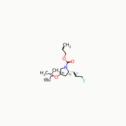 C=CCOC(=O)N1C[C@H](O[Si](C)(C)C(C)(C)C)C[C@H]1/C=C/CF